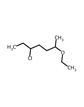 CCOC(C)CCC(Cl)CC